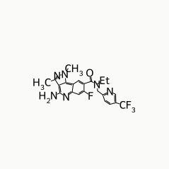 CCN(Cc1ccc(C(F)(F)F)cn1)C(=O)c1cc2c(cc1F)nc(N)c1c(C)nn(C)c12